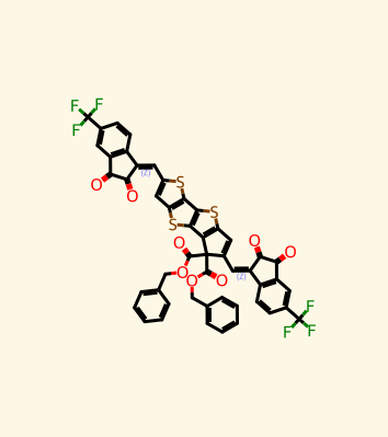 O=C1C(=O)c2cc(C(F)(F)F)ccc2/C1=C/C1=Cc2sc3c(sc4cc(/C=C5\C(=O)C(=O)c6cc(C(F)(F)F)ccc65)sc43)c2C1(C(=O)OCc1ccccc1)C(=O)OCc1ccccc1